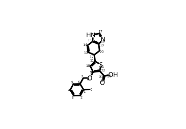 Cc1ccccc1COc1cc(C2C=Cc3[nH]cnc3C2)sc1C(=O)O